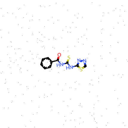 O=C(NC(=S)Nc1nncs1)c1ccccc1